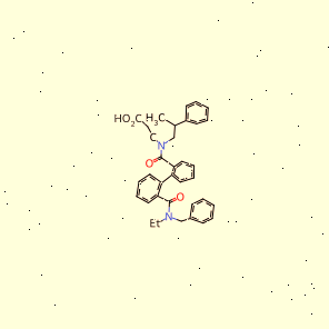 CCN(Cc1ccccc1)C(=O)c1ccccc1-c1ccccc1C(=O)N(CCC(=O)O)CC(C)c1ccccc1